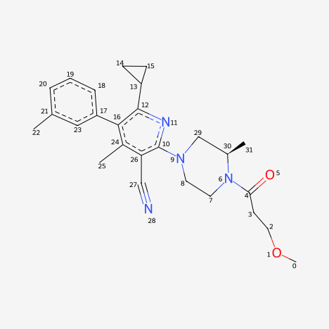 COCCC(=O)N1CCN(c2nc(C3CC3)c(-c3cccc(C)c3)c(C)c2C#N)C[C@H]1C